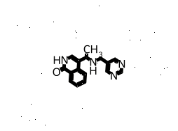 CC(NCc1cncnc1)c1c[nH]c(=O)c2ccccc12